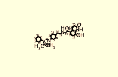 CN(C)[C@@H](CNc1ccc(CCNC[C@H](O)c2ccc(O)c3[nH]c(=O)ccc23)cc1)c1ccccc1